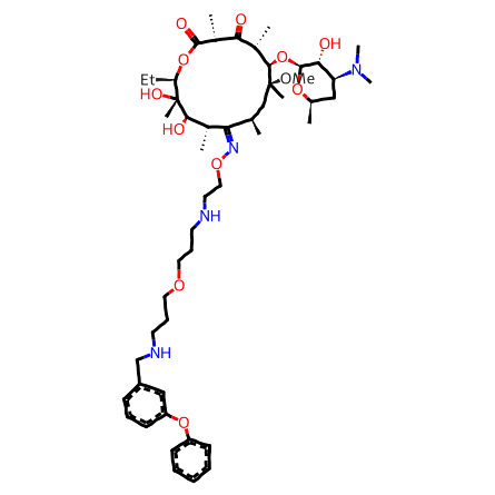 CC[C@H]1OC(=O)[C@H](C)C(=O)[C@H](C)[C@@H](O[C@@H]2O[C@H](C)C[C@H](N(C)C)[C@H]2O)[C@@](C)(OC)C[C@@H](C)C(=NOCCNCCCOCCCNCc2cccc(Oc3ccccc3)c2)[C@H](C)[C@@H](O)[C@]1(C)O